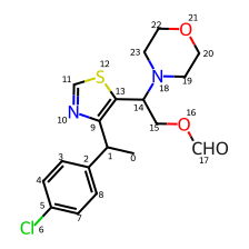 CC(c1ccc(Cl)cc1)c1ncsc1C(COC=O)N1CCOCC1